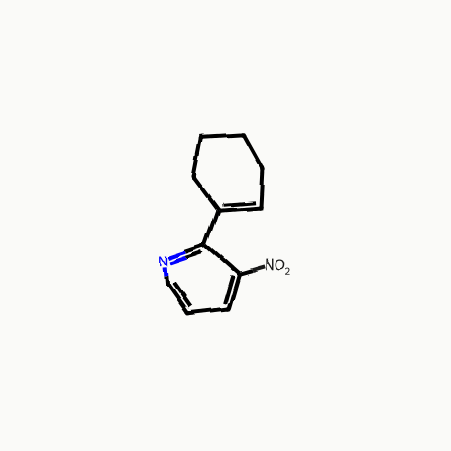 O=[N+]([O-])c1cccnc1C1=CCCCC1